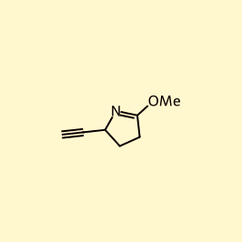 C#CC1CCC(OC)=N1